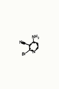 N#Cc1c(N)ccnc1Br